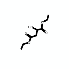 CCOC(=O)[CH]C(O)C(=O)OCC